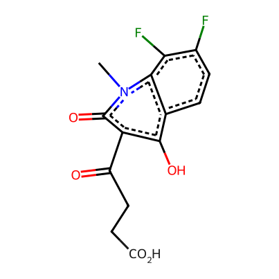 Cn1c(=O)c(C(=O)CCC(=O)O)c(O)c2ccc(F)c(F)c21